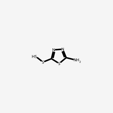 Nc1nnc(SS)s1